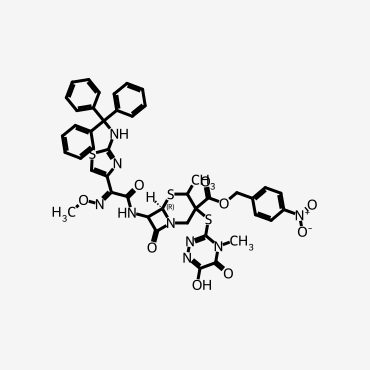 CON=C(C(=O)NC1C(=O)N2CC(Sc3nnc(O)c(=O)n3C)(C(=O)OCc3ccc([N+](=O)[O-])cc3)C(C)S[C@H]12)c1csc(NC(c2ccccc2)(c2ccccc2)c2ccccc2)n1